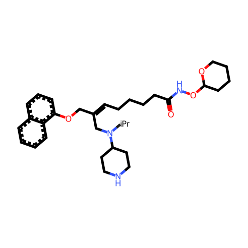 CC(C)N(C/C(=C\CCCCC(=O)NOC1CCCCO1)COc1cccc2ccccc12)C1CCNCC1